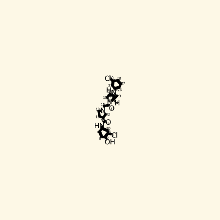 O=C(Nc1ccc(O)c(Cl)c1)[C@@H]1CCN(CC(=O)N2C[C@@H]3C[C@H]2CN3c2cccc(Cl)c2)C1